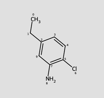 CCc1ccc(Cl)c(N)c1